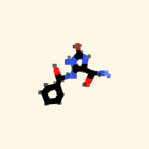 NC(=O)c1nc(Br)[nH]c1NC(=O)c1ccccc1